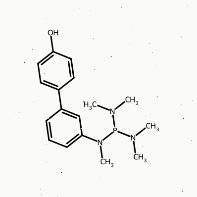 CN(C)P(N(C)C)N(C)c1cccc(-c2ccc(O)cc2)c1